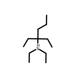 CCCC(CC)(CC)[SiH](CC)CC